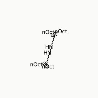 CCCCCCCCC(CCCCCCCC)OC(=O)CCCCCCCNCCCNCCCCCCCC(=O)OC(CCCCCCCC)CCCCCCCC